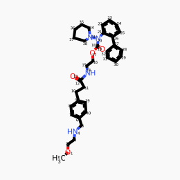 COCCNCc1ccc(CCC(=O)NCCOC(=O)N(c2ccccc2-c2ccccc2)N2CC[CH]CC2)cc1